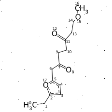 CCc1ccc(CC(=O)CCC(=O)CCOC)o1